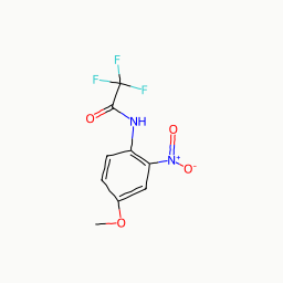 COc1ccc(NC(=O)C(F)(F)F)c([N+](=O)[O-])c1